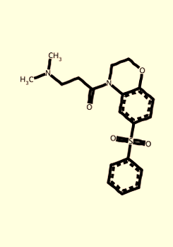 CN(C)CCC(=O)N1CCOc2ccc(S(=O)(=O)c3ccccc3)cc21